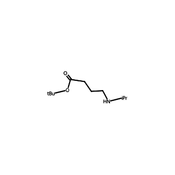 CC(C)NCCCC(=O)OC(C)(C)C